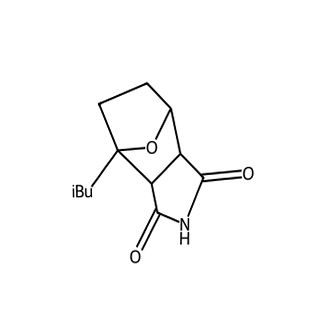 CCC(C)C12CCC(O1)C1C(=O)NC(=O)C12